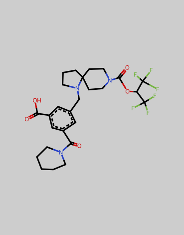 O=C(O)c1cc(CN2CCCC23CCN(C(=O)OC(C(F)(F)F)C(F)(F)F)CC3)cc(C(=O)N2CCCCC2)c1